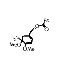 CCC(=O)OCCC1=CC=C(OC)C(N)(OC)C1